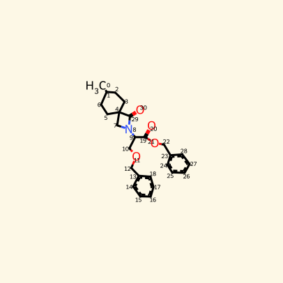 CC1CCC2(CC1)CN(C(COCc1ccccc1)C(=O)OCc1ccccc1)C2=O